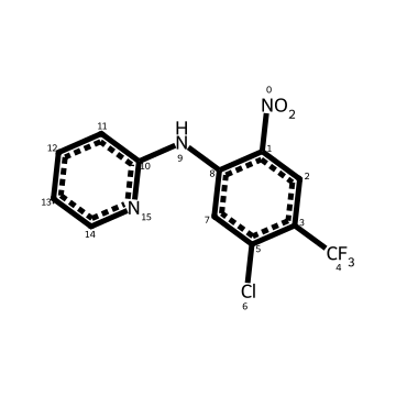 O=[N+]([O-])c1cc(C(F)(F)F)c(Cl)cc1Nc1cc[c]cn1